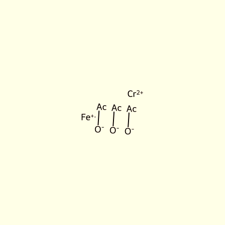 CC(=O)[O-].CC(=O)[O-].CC(=O)[O-].[Cr+2].[Fe+]